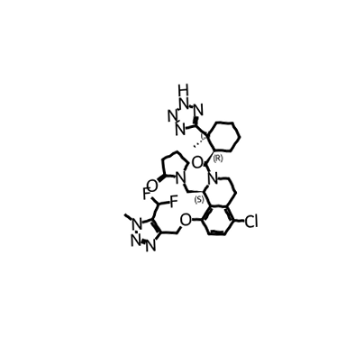 Cn1nnc(COc2ccc(Cl)c3c2[C@@H](CN2CCCC2=O)N(C(=O)[C@@H]2CCCC[C@]2(C)c2nn[nH]n2)CC3)c1C(F)F